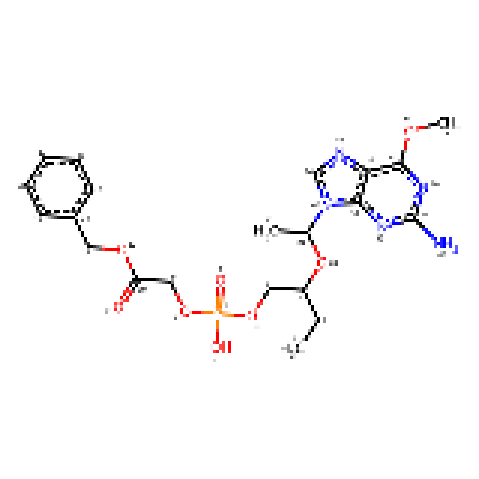 CCC(COP(=O)(O)OCC(=O)OCc1ccccc1)OC(C)n1cnc2c(OC)nc(N)nc21